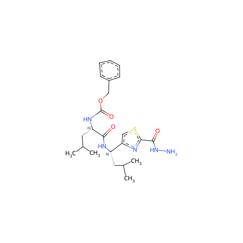 CC(C)C[C@H](NC(=O)OCc1ccccc1)C(=O)N[C@@H](CC(C)C)c1csc(C(=O)NN)n1